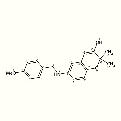 COc1ccc(CNc2ccc3c(c2)C=C(O)C(C)(C)O3)cc1